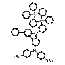 CC(C)(C)c1ccc(N(c2ccc(C(C)(C)C)cc2)c2ccc3c(c2)c2cc(-c4ccccc4)ccc2n3-c2cccc([Si]3(c4ccccc4)c4ccccc4[Si](c4ccccc4)(c4ccccc4)c4ccccc43)c2)cc1